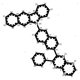 c1ccc(-c2nc3nccnc3nc2-c2ccc3cc(-n4c5ccccc5c5cc6ccccc6cc54)ccc3c2)cc1